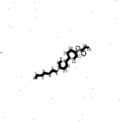 CCCCCCC[C@H]1CC[C@H]([C@H]2CC[C@H](OC(=O)CC)CC2)CC1